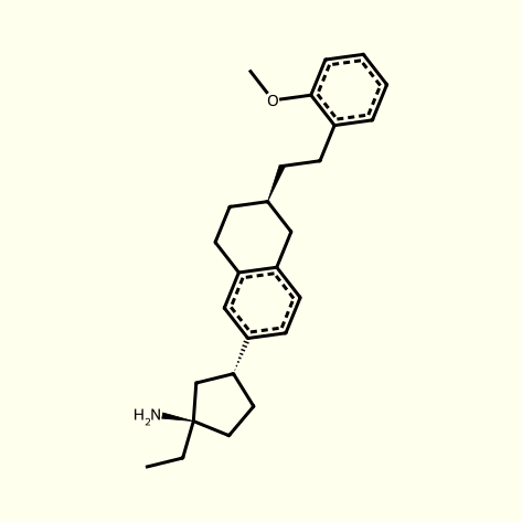 CC[C@@]1(N)CC[C@@H](c2ccc3c(c2)CC[C@@H](CCc2ccccc2OC)C3)C1